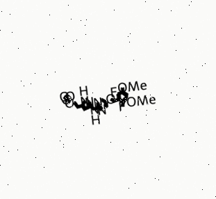 COc1cc(OC)c(F)c(COc2cnc(Nc3cc(CCOS(C)(=O)=O)[nH]n3)nc2)c1F